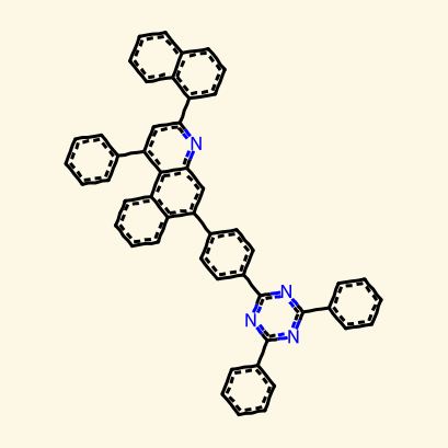 c1ccc(-c2nc(-c3ccccc3)nc(-c3ccc(-c4cc5nc(-c6cccc7ccccc67)cc(-c6ccccc6)c5c5ccccc45)cc3)n2)cc1